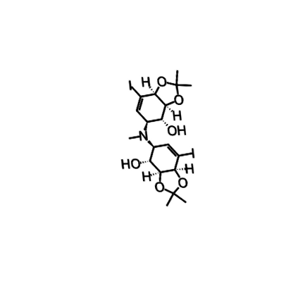 CN([C@H]1C=C(I)[C@H]2OC(C)(C)O[C@H]2[C@@H]1O)[C@H]1C=C(I)[C@H]2OC(C)(C)O[C@H]2[C@@H]1O